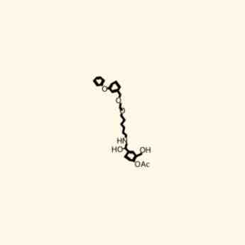 CC(=O)Oc1ccc([C@@H](O)CNCCCCCCOCCOCc2cccc(Oc3ccccc3)c2)cc1CO